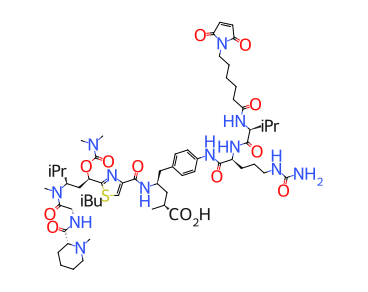 CC[C@H](C)[C@H](NC(=O)[C@H]1CCCCN1C)C(=O)N(C)[C@H](C[C@@H](OC(=O)N(C)C)c1nc(C(=O)N[C@@H](Cc2ccc(NC(=O)[C@H](CCCNC(N)=O)NC(=O)[C@@H](NC(=O)CCCCCN3C(=O)C=CC3=O)C(C)C)cc2)C[C@H](C)C(=O)O)cs1)C(C)C